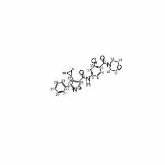 O=C(Nc1ccc(C(=O)N2CCOCC2)c(Cl)c1)c1snc(-c2ccccc2)c1C1CC1